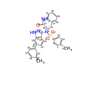 Cc1ccc(S(=O)(=O)N(c2n[nH]c3cc(-c4cccc(C)c4)ccc23)[C@@H](Cc2ccccc2)C(N)=O)cc1